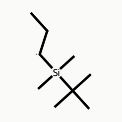 CC[CH][Si](C)(C)C(C)(C)C